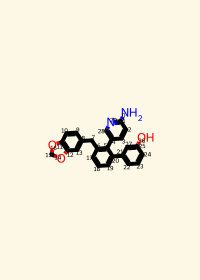 Nc1ccc(-c2c(Cc3ccc4c(c3)OCO4)cccc2-c2cccc(O)c2)cn1